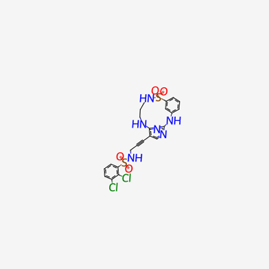 O=S1(=O)NCCCNc2nc(ncc2C#CCNS(=O)(=O)c2cccc(Cl)c2Cl)Nc2cccc1c2